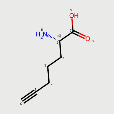 C#CCCC[C@H](N)C(=O)O